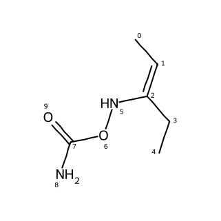 C/C=C(/CC)NOC(N)=O